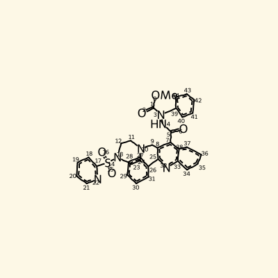 COC(=O)N(NC(=O)c1c(CN2CCN(S(=O)(=O)c3ccccn3)CC2)c(-c2ccccc2)nc2ccccc12)c1ccccc1